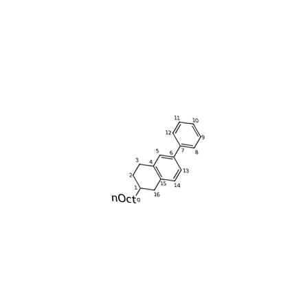 CCCCCCCCC1CCc2cc(-c3ccccc3)ccc2C1